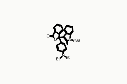 CCCCn1c(C)c(C2(c3ccc(N(CC)CC)cc3)OC(=O)c3ccccc32)c2ccccc21